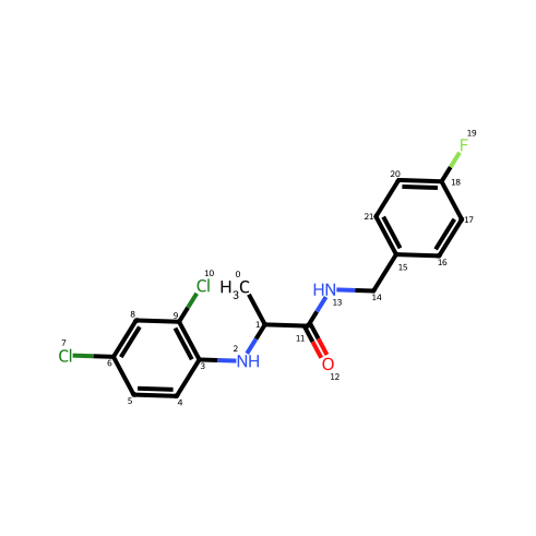 CC(Nc1ccc(Cl)cc1Cl)C(=O)NCc1ccc(F)cc1